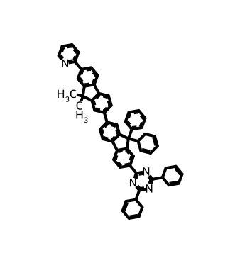 CC1(C)c2cc(-c3ccc4c(c3)C(c3ccccc3)(C3C=CC=CC3)c3cc(-c5nc(C6C=CC=CC6)nc(C6C=CC=CC6)n5)ccc3-4)ccc2-c2ccc(-c3ccccn3)cc21